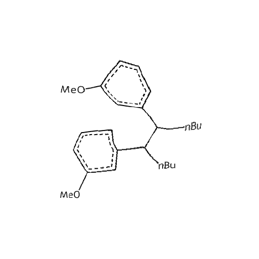 CCCCC(c1cccc(OC)c1)C(CCCC)c1cccc(OC)c1